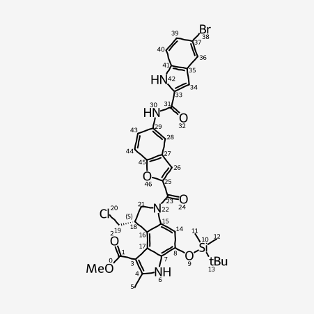 COC(=O)c1c(C)[nH]c2c(O[Si](C)(C)C(C)(C)C)cc3c(c12)[C@H](CCl)CN3C(=O)c1cc2cc(NC(=O)c3cc4cc(Br)ccc4[nH]3)ccc2o1